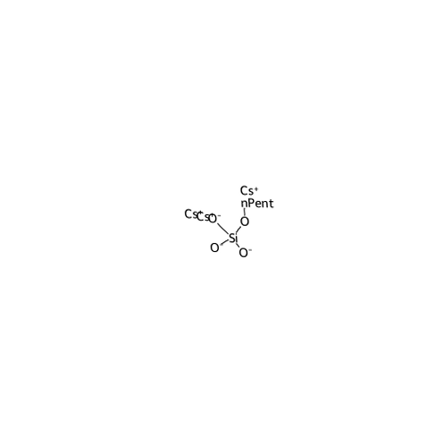 CCCCCO[Si]([O-])([O-])[O-].[Cs+].[Cs+].[Cs+]